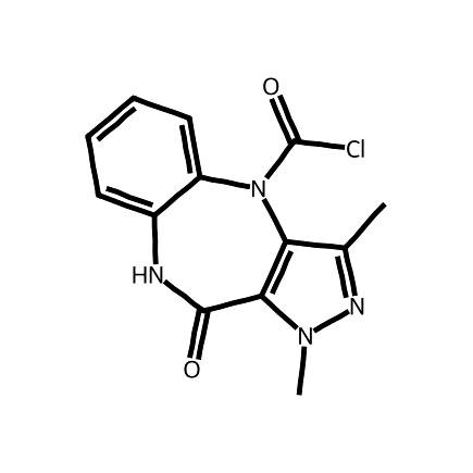 Cc1nn(C)c2c1N(C(=O)Cl)c1ccccc1NC2=O